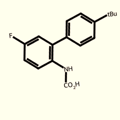 CC(C)(C)c1ccc(-c2cc(F)ccc2NC(=O)O)cc1